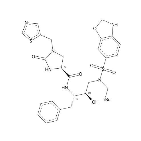 CCC(C)CN(C[C@@H](O)[C@H](Cc1ccccc1)NC(=O)[C@@H]1CN(Cc2cncs2)C(=O)N1)S(=O)(=O)c1ccc2c(c1)OCN2